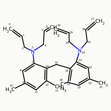 C=CCN(CC=C)c1cc(C)cc(C)c1Cc1c(C)cc(C)cc1N(CC=C)CC=C